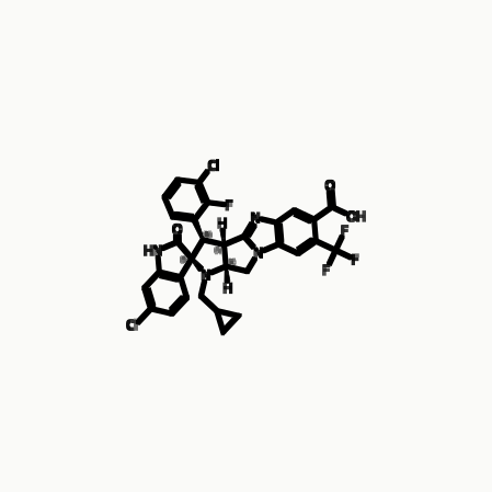 O=C(O)c1cc2nc3n(c2cc1C(F)(F)F)C[C@H]1[C@@H]3[C@H](c2cccc(Cl)c2F)[C@]2(C(=O)Nc3cc(Cl)ccc32)N1CC1CC1